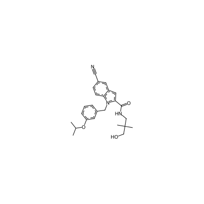 CC(C)Oc1cccc(Cn2c(C(=O)NCC(C)(C)CO)cc3cc(C#N)ccc32)c1